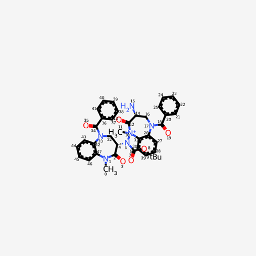 CN1C(=O)[C@@H](N(C(=O)OC(C)(C)C)[N+]2(C)C(=O)[C@@H](N)CN(C(=O)c3ccccc3)c3ccccc32)CN(C(=O)c2ccccc2)c2ccccc21